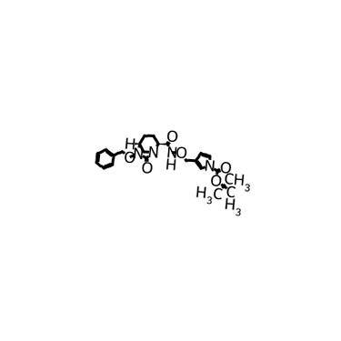 CC(C)(C)OC(=O)n1ccc(CONC(=O)[C@@H]2CC[C@@H]3CN2C(=O)N3OCc2ccccc2)c1